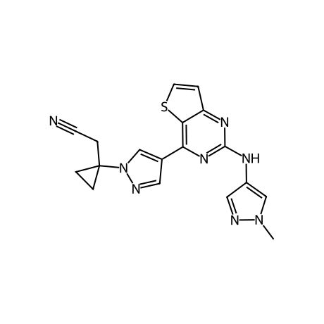 Cn1cc(Nc2nc(-c3cnn(C4(CC#N)CC4)c3)c3sccc3n2)cn1